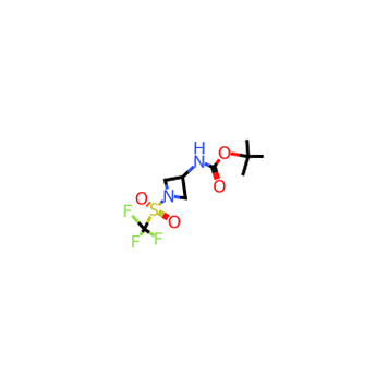 CC(C)(C)OC(=O)NC1CN(S(=O)(=O)C(F)(F)F)C1